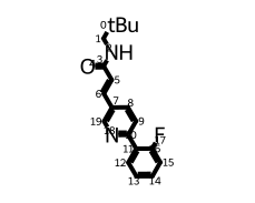 CC(C)(C)CNC(=O)/C=C/c1ccc(-c2ccccc2F)nc1